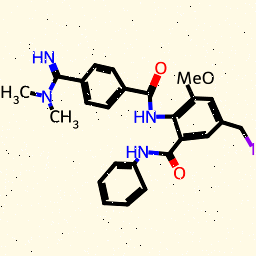 COc1cc(CI)cc(C(=O)Nc2ccccc2)c1NC(=O)c1ccc(C(=N)N(C)C)cc1